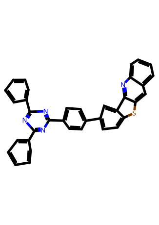 c1ccc(-c2nc(-c3ccccc3)nc(-c3ccc(-c4ccc5sc6cc7ccccc7nc6c5c4)cc3)n2)cc1